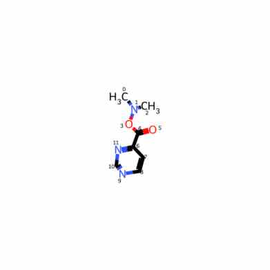 CN(C)OC(=O)c1ccncn1